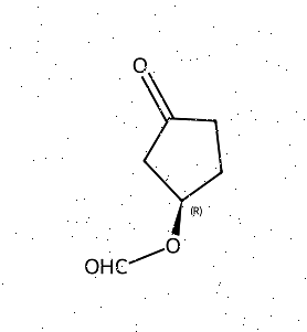 O=CO[C@@H]1CCC(=O)C1